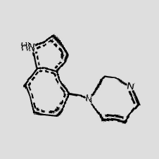 C1=CN(c2cccc3[nH]ccc23)CN=C1